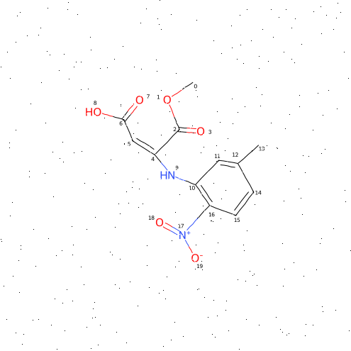 COC(=O)C(=CC(=O)O)Nc1cc(C)ccc1[N+](=O)[O-]